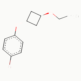 CCOC(=O)CO[C@H]1C[C@H](Oc2ccc(Br)cc2)C1